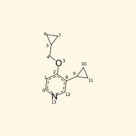 c1cc(OCC2CC2)c(C2CC2)cn1